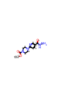 CC(C)(C)OC(=O)N1CCN(c2ccc(C(=O)NN)cn2)CC1